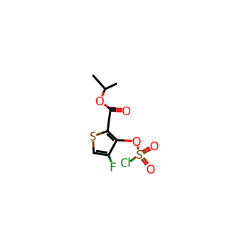 CC(C)OC(=O)c1scc(F)c1OS(=O)(=O)Cl